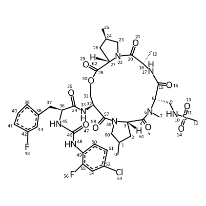 CC1C[C@H]2C(=O)N(C)[C@@H](CNS(C)(=O)=O)C(=O)N[C@@H](C)C(=O)N3C[C@H](C)C[C@H]3C(=O)OC[C@H](NC(=O)[C@H](Cc3cccc(F)c3)NC(=O)Nc3ccc(Cl)cc3F)C(=O)N2C1